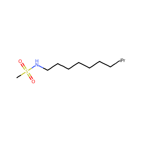 CC(C)CCCCCCCNS(C)(=O)=O